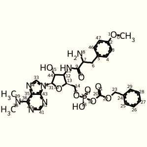 COc1ccc(CC(N)C(=O)NC2[C@@H](COP(=O)(O)OC(=O)OCc3ccccc3)O[C@@H](n3cnc4c(N(C)C)ncnc43)[C@H]2O)cc1